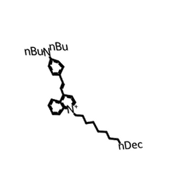 CCCCCCCCCCCCCCCCCC[n+]1ccc(/C=C/c2ccc(N(CCCC)CCCC)cc2)c2ccccc21